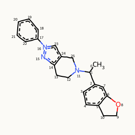 CC(c1ccc2c(c1)OCC2)N1CCc2nn(-c3ccccc3)cc2C1